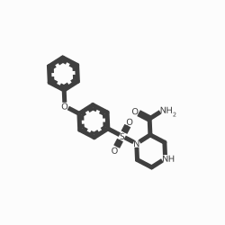 NC(=O)C1CNCCN1S(=O)(=O)c1ccc(Oc2ccccc2)cc1